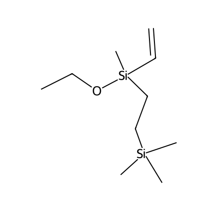 C=C[Si](C)(CC[Si](C)(C)C)OCC